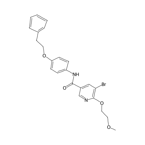 COCCOc1ncc(C(=O)Nc2ccc(OCCc3ccccc3)cc2)cc1Br